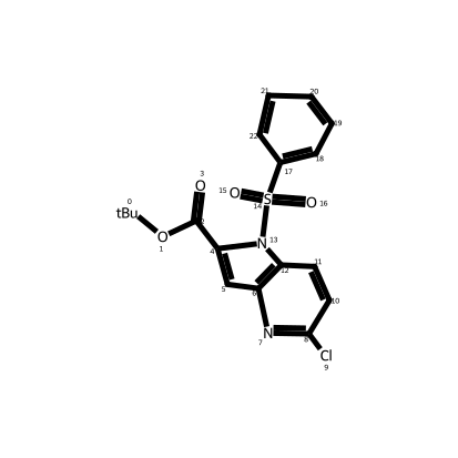 CC(C)(C)OC(=O)c1cc2nc(Cl)ccc2n1S(=O)(=O)c1ccccc1